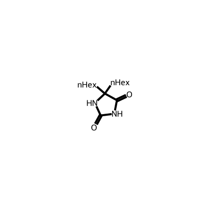 CCCCCCC1(CCCCCC)NC(=O)NC1=O